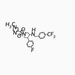 Cn1cnc(S(=O)(=O)N2CC(NCc3ccc(C(F)(F)F)cc3)C(c3ccc(F)cc3)C2)c1